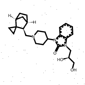 O=c1n(C[C@H](O)CO)c2ccccc2n1C1CCN(C[C@@H]2[C@@H]3CC[C@@H](C3)C23CC3)CC1